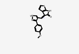 COc1ccc(-c2n[nH]cc2/C=C2/C(=O)Nc3sccc32)cc1